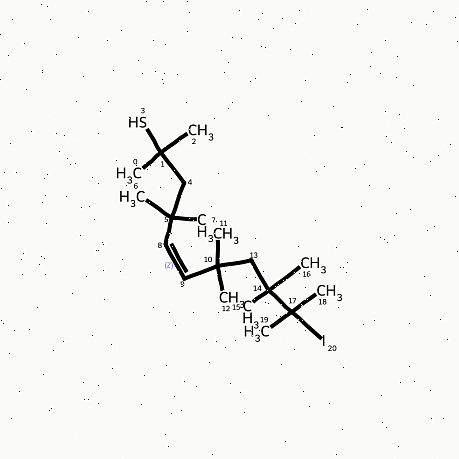 CC(C)(S)CC(C)(C)/C=C\C(C)(C)CC(C)(C)C(C)(C)I